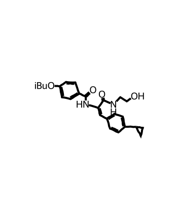 CC(C)COc1ccc(C(=O)NC(=Cc2ccc(C3CC3)cc2)C(=O)NCCO)cc1